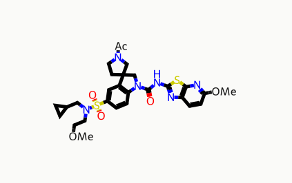 COCCN(CC1CC1)S(=O)(=O)c1ccc2c(c1)C1(CCN(C(C)=O)C1)CN2C(=O)Nc1nc2ccc(OC)nc2s1